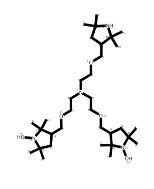 CC1(C)CC(COCCN(CCOCC2CC(C)(C)N(O)C2(C)C)CCOCC2CC(C)(C)N(O)C2(C)C)C(C)(C)N1